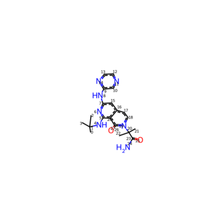 CC(C)(C)Nc1nc(Nc2cnccn2)cc2ccn(C(C)(C)C(N)=O)c(=O)c12